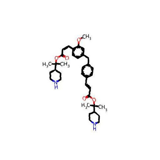 COc1cc(Cc2ccc(/C=C/C(=O)OC(C)(C)C3CCNCC3)cc2)ccc1/C=C\C(=O)OC(C)(C)C1CCNCC1